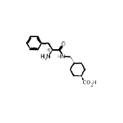 N[C@@H](Cc1ccccc1)C(=O)NC[C@H]1CC[C@H](C(=O)O)CC1